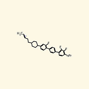 C/C=C/CCC1CCC(c2ccc(-c3ccc(-c4ccc(CCC)c(F)c4F)cc3)c(F)c2)CC1